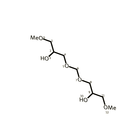 COCC(O)COCOCC(O)COC